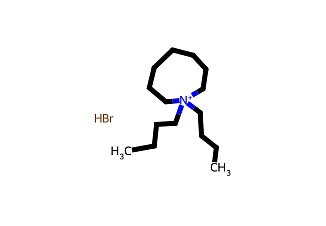 Br.CCCC[N+]1(CCCC)CCCCCCC1